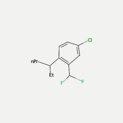 CCCC(CC)c1ccc(Cl)cc1C(F)F